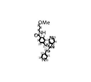 COCCCNC(=O)c1ccc(Cn2c(SCc3ccncc3)nc3ccncc32)cc1